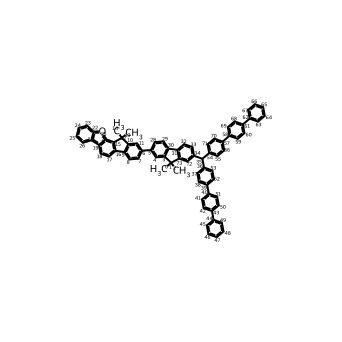 CC1(C)c2cc(-c3ccc4c(c3)C(C)(C)c3c-4ccc4c3oc3ccccc34)ccc2-c2ccc(C(c3ccc(-c4ccc(-c5ccccc5)cc4)cc3)c3ccc(-c4ccc(-c5ccccc5)cc4)cc3)cc21